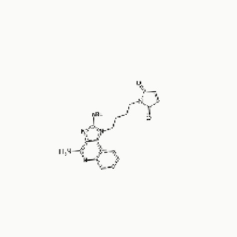 CCCCc1nc2c(N)nc3ccccc3c2n1CCCCN1C(=O)C=CC1=O